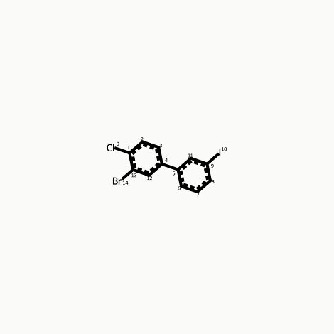 Clc1ccc(-c2cccc(I)c2)cc1Br